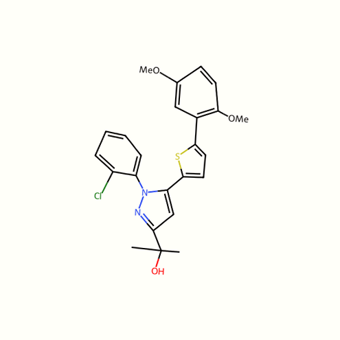 COc1ccc(OC)c(-c2ccc(-c3cc(C(C)(C)O)nn3-c3ccccc3Cl)s2)c1